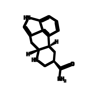 NC(=O)[C@H]1CN[C@@H]2Cc3c[nH]c4cccc(c34)[C@H]2C1